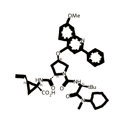 C=C[C@@H]1C[C@]1(NC(=O)[C@@H]1C[C@@H](Oc2cc(-c3ccccc3)nc3cc(OC)ccc23)CN1C(=O)N[C@H](C(=O)N(C)C1CCCCC1)C(C)(C)C)C(=O)O